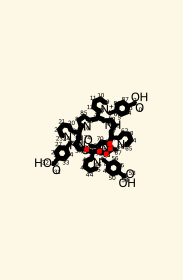 O=C(O)c1ccc(C[n+]2ccccc2-c2c3nc(c(-c4cccc[n+]4Cc4ccc(C(=O)O)cc4)c4ccc([nH]4)c(-c4cccc[n+]4Cc4ccc(C(=O)O)cc4)c4nc(c(-c5cccc[n+]5Cc5ccc(C(=O)O)cc5)c5ccc2[nH]5)C=C4)C=C3)cc1